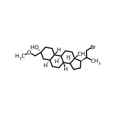 COC[C@@]1(O)CC[C@H]2[C@@H](CC[C@@H]3[C@@H]2CC[C@]2(C)[C@@H](C(C)CBr)CC[C@@H]32)C1